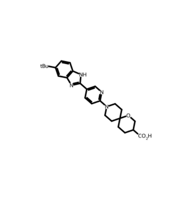 CC(C)(C)c1ccc2[nH]c(-c3ccc(N4CCC5(CCC(C(=O)O)CO5)CC4)nc3)nc2c1